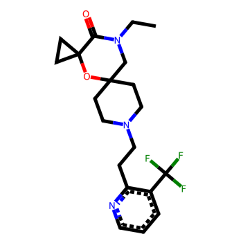 CCN1CC2(CCN(CCc3ncccc3C(F)(F)F)CC2)OC2(CC2)C1=O